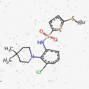 CC1(C)CCN(c2c(Cl)cccc2NS(=O)(=O)c2ccc(SC(C)(C)C)s2)CC1